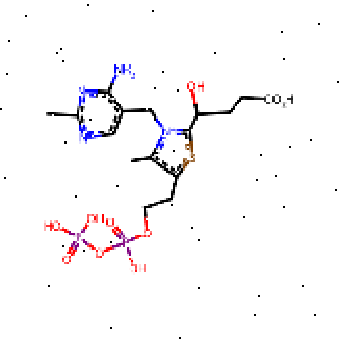 Cc1ncc(C[n+]2c(C(O)CCC(=O)O)sc(CCOP(=O)(O)OP(=O)(O)O)c2C)c(N)n1